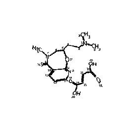 CN(C)CCC1CN(C)C(=S)c2cccnc2O1.O=C(O)C=CC(=O)O